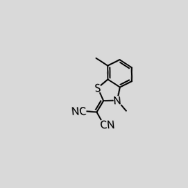 Cc1cccc2c1SC(=C(C#N)C#N)N2C